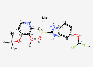 [2H]C([2H])([2H])Oc1ccnc(C[S@@+]([O-])c2nc3cc(OC(F)F)ccc3[nH]2)c1OC.[Na]